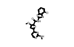 CNc1nccc(-c2cc(OC)c(C(=O)Nc3nc4c(Cl)cccc4s3)s2)n1